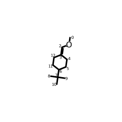 COC=C1CCC(C(C)(C)C)CC1